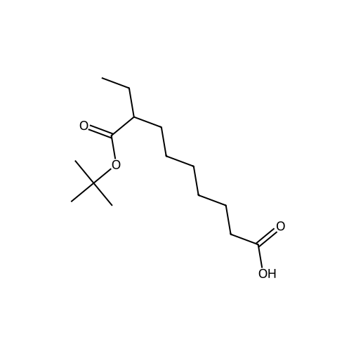 CCC(CCCCCCC(=O)O)C(=O)OC(C)(C)C